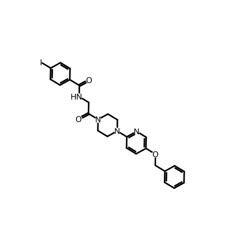 O=C(NCC(=O)N1CCN(c2ccc(OCc3ccccc3)cn2)CC1)c1ccc(I)cc1